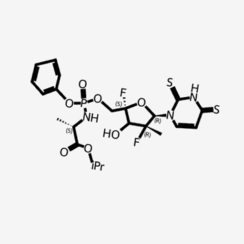 CC(C)OC(=O)[C@H](C)NP(=O)(OC[C@@]1(F)O[C@@H](n2ccc(=S)[nH]c2=S)[C@](C)(F)C1O)Oc1ccccc1